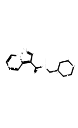 O=C(NCC1CCCCC1)c1cnn2ccccc12